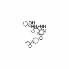 C=CC(=O)N1CCC(Oc2cnc3[nH]cc(C(=O)NCC4(O)CCCC4)c3n2)CC1